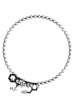 CCC1(C)CCCCCCCCCCCCCCCCCCCCCCCCCCCCCCCCCCCCCCCCCCCCCCCC2(OCC(CO)O2)C(C)C(C)(CC)N1OC(C)c1ccccc1